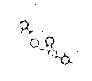 Cc1ncc(Cl)cc1C(=O)N[C@H]1CC[C@H](Cn2c(=O)n(CC(=O)c3ccc(F)cc3F)c3ccccc32)CC1